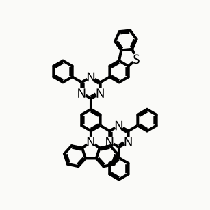 c1ccc(-c2nc(-c3ccc(-n4c5ccccc5c5ccccc54)c(-c4nc(-c5ccccc5)nc(-c5ccccc5)n4)c3)nc(-c3ccc4sc5ccccc5c4c3)n2)cc1